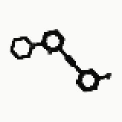 Fc1cccc(C#Cc2cccc(N3CCCCC3)n2)c1